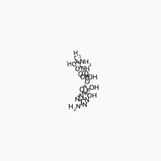 C[C@@H](O)[C@H](N)C(=O)NC(=O)OP(=O)(O)OC[C@H]1O[C@@H](n2cnc3c(N)ncnc32)[C@H](O)[C@@H]1O